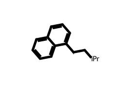 [CH2]C(C)C[CH]c1cccc2ccccc12